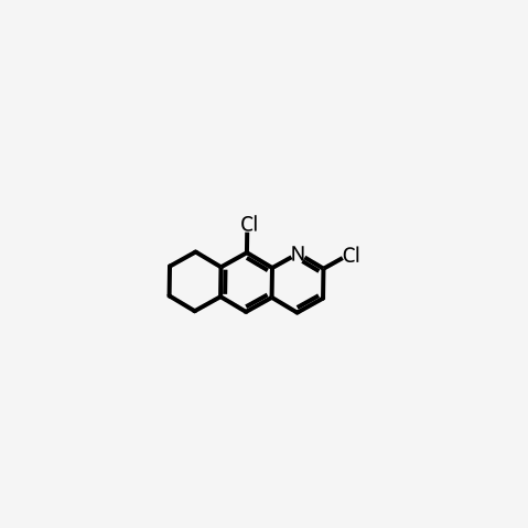 Clc1ccc2cc3c(c(Cl)c2n1)CCCC3